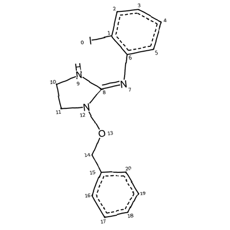 Ic1ccccc1/N=C1\NCCN1OCc1ccccc1